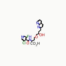 O=C(NC(CCOCC(O)CCc1ccc2cccnc2n1)C(=O)O)c1c(F)cncc1Cl